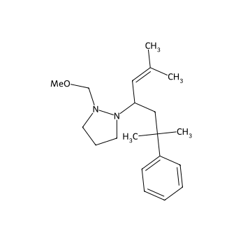 COCN1CCCN1C(C=C(C)C)CC(C)(C)c1ccccc1